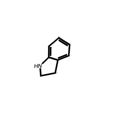 [c]1ccc2c(c1)NC[CH]2